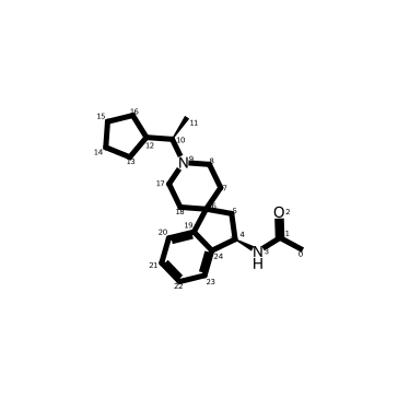 CC(=O)N[C@@H]1CC2(CCN([C@H](C)C3CCCC3)CC2)c2ccccc21